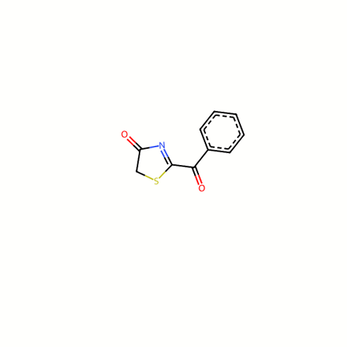 O=C1CSC(C(=O)c2ccccc2)=N1